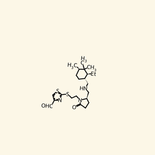 CC[C@H]1[C@H](CNC[C@H]2CCC(=O)N2CCSc2nc(C=O)cs2)CC[C@@H](C)C1(C)C